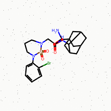 NC(=O)C12CC3CC(C1)C(NC(=O)CN1CCCN(c4ccccc4Br)S1(=O)=O)C(C3)C2